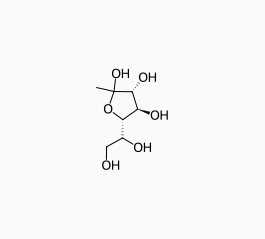 CC1(O)O[C@@H](C(O)CO)[C@H](O)[C@H]1O